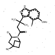 CCC1CC2(C#N)CC(C2)N1C(=O)CC(C)(C)c1n[nH]c2ccc(OC)c(F)c12